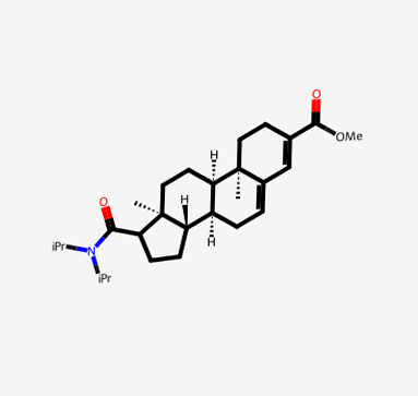 COC(=O)C1=CC2=CC[C@@H]3[C@@H](CC[C@]4(C)C(C(=O)N(C(C)C)C(C)C)CC[C@@H]34)[C@@]2(C)CC1